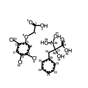 O=C(O)COc1cc(Cl)c(Cl)cc1Cl.O=C(O)[C@](O)(Cc1ccccc1)N(O)O